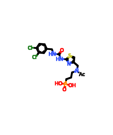 CC(=O)N(CCCP(=O)(O)O)Cc1csc(NC(=O)NCc2ccc(Cl)c(Cl)c2)n1